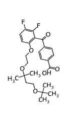 CC(C)(C)OCCC(C)(C)OCCOc1ccc(F)c(F)c1C(=O)c1ccc(C(=O)O)cc1